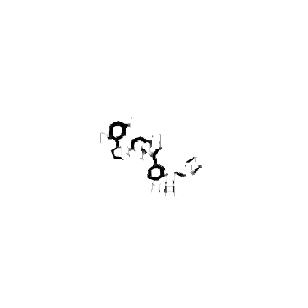 Nc1ccc(-c2cnc3ccc(N4CCCC4c4cc(F)ccc4F)nn23)cc1NCCN1CCOCC1